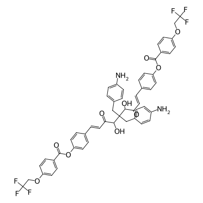 Nc1ccc(CC(Cc2ccc(N)cc2)(C(O)C(=O)/C=C/c2ccc(OC(=O)c3ccc(OCC(F)(F)F)cc3)cc2)C(O)C(=O)/C=C/c2ccc(OC(=O)c3ccc(OCC(F)(F)F)cc3)cc2)cc1